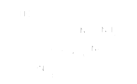 Nc1ncc(-c2ccncc2)c(-c2ccc(O)cc2)n1